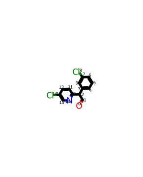 O=CC(c1cccc(Cl)c1)c1ccc(Cl)cn1